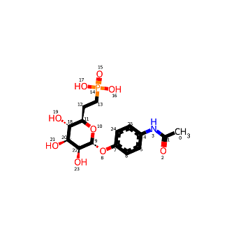 CC(=O)Nc1ccc(O[C@H]2O[C@H](CCP(=O)(O)O)[C@@H](O)[C@H](O)[C@@H]2O)cc1